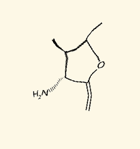 C=C1OC(C)[C@H](C)[C@H]1N